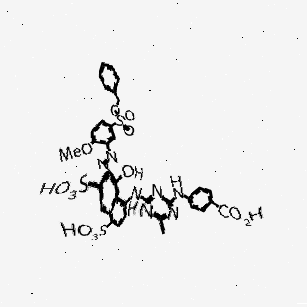 COc1ccc(S(=O)(=O)OCc2ccccc2)cc1N=Nc1c(S(=O)(=O)O)cc2c(S(=O)(=O)O)ccc(Nc3nc(C)nc(Nc4ccc(C(=O)O)cc4)n3)c2c1O